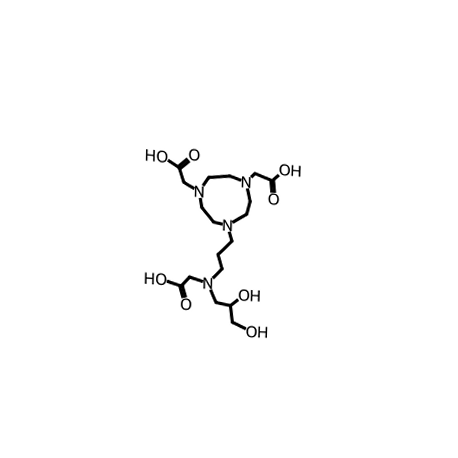 O=C(O)CN1CCN(CCCN(CC(=O)O)CC(O)CO)CCN(CC(=O)O)CC1